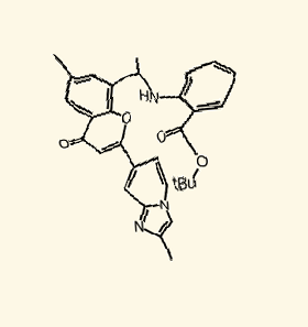 Cc1cc(C(C)Nc2ccccc2C(=O)OC(C)(C)C)c2oc(-c3ccn4cc(C)nc4c3)cc(=O)c2c1